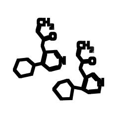 C=CC(=O)Cc1cnccc1C1CCCCC1.C=CC(=O)Cc1cnccc1C1CCCCC1